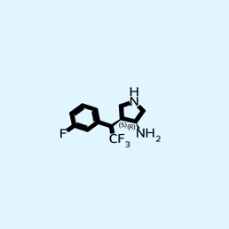 N[C@H]1CNC[C@@H]1C(c1cccc(F)c1)C(F)(F)F